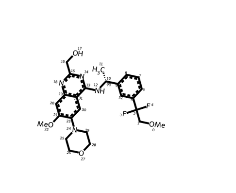 COCC(F)(F)c1cccc([C@@H](C)Nc2nc(CO)nc3cc(OC)c(N4CCOCC4)cc23)c1